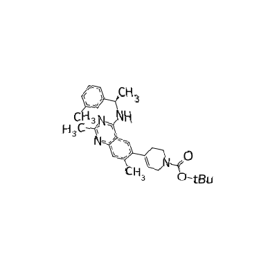 Cc1cccc([C@@H](C)Nc2nc(C)nc3cc(C)c(C4=CCN(C(=O)OC(C)(C)C)CC4)cc23)c1